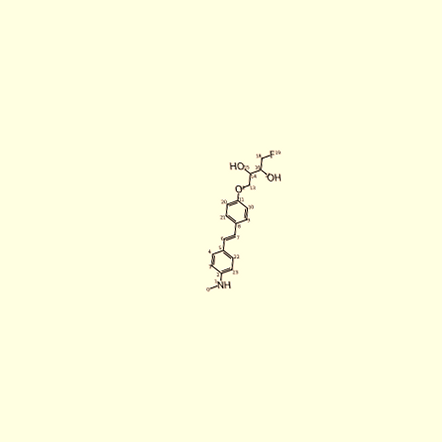 CNc1ccc(/C=C/c2ccc(OCC(O)C(O)CF)cc2)cc1